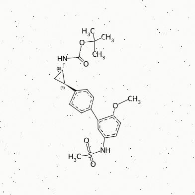 COc1ccc(NS(C)(=O)=O)cc1-c1ccc([C@H]2C[C@@H]2NC(=O)OC(C)(C)C)cc1